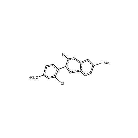 COc1ccc2cc(-c3ccc(C(=O)O)cc3Cl)c(F)cc2c1